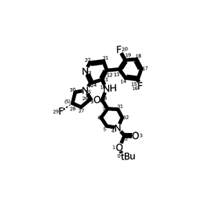 CC(C)(C)OC(=O)N1CCC(C(=O)Nc2c(-c3cc(F)ccc3F)ccnc2N2CC[C@H](F)C2)CC1